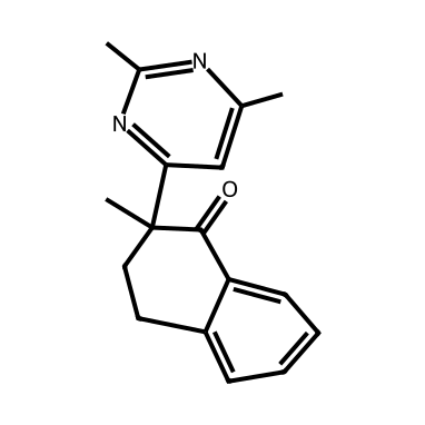 Cc1cc(C2(C)CCc3ccccc3C2=O)nc(C)n1